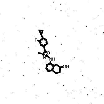 Cc1nc(Nc2cccc3c2CC(O)CC3)oc1-c1ccc(C2CC2)c(F)c1